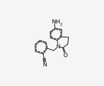 N#Cc1ccccc1CN1C(=O)CCc2cc(N)ccc21